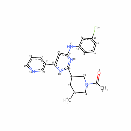 CC(=O)N1CC(C)CC(c2nc(Nc3cccc(F)c3)cc(-c3cccnc3)n2)C1